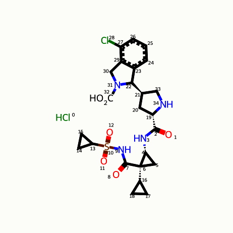 Cl.O=C(N[C@@H]1C[C@]1(C(=O)NS(=O)(=O)C1CC1)C1CC1)[C@@H]1C[C@@H](C2c3cccc(Cl)c3CN2C(=O)O)CN1